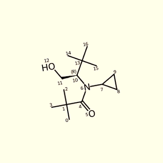 CC(C)(C)C(=O)N(C1CC1)[C@@H](CO)C(C)(C)C